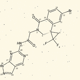 O=C(CN1C[C@@]2(CC2(F)F)c2cc(Br)ccc2C1=O)Nc1ncc2cn[nH]c2n1